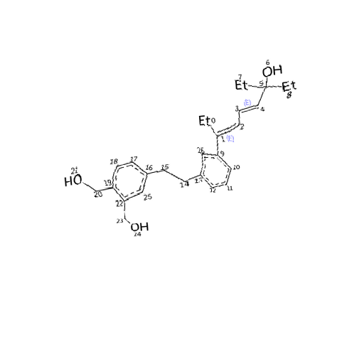 CC/C(=C\C=C\C(O)(CC)CC)c1cccc(CCc2ccc(CO)c(CO)c2)c1